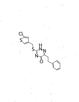 O=c1nc(SCc2csc(Cl)c2)[nH]nc1CCc1ccccc1